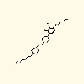 CCCCCCCC1CCC(CCC2CCC(c3ccc(OCCCCC)c(F)c3F)CC2)CC1